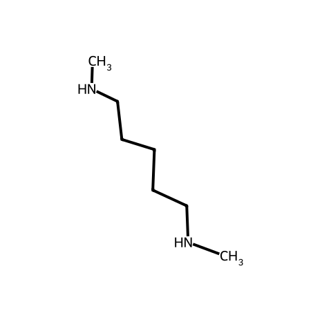 CNCCCCCNC